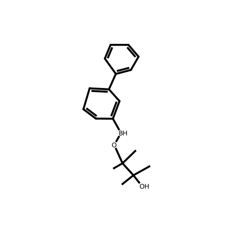 CC(C)(O)C(C)(C)OBc1cccc(-c2ccccc2)c1